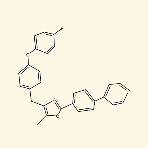 Cc1oc(-c2ccc(-c3ccncc3)cc2)nc1Cc1ccc(Oc2ccc(F)cc2)cc1